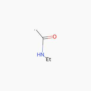 [CH2]CNC([CH2])=O